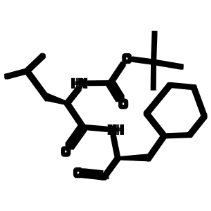 CC(C)C[C@@H](NC(=O)OC(C)(C)C)C(=O)N[C@H]([C]=O)CC1CCCCC1